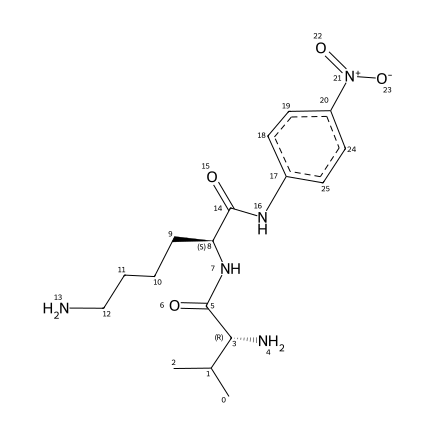 CC(C)[C@@H](N)C(=O)N[C@@H](CCCCN)C(=O)Nc1ccc([N+](=O)[O-])cc1